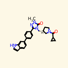 Cn1nc(-c2ccc(-c3ccc4cc[nH]c4c3)cc2)n(C[C@@H]2CCN(C(=O)C3CC3)C2)c1=O